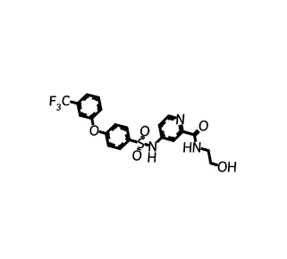 O=C(NCCO)c1cc(NS(=O)(=O)c2ccc(Oc3cccc(C(F)(F)F)c3)cc2)ccn1